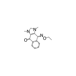 CCON=C1C2=C(C(=O)c3ccccc31)N(C)CN2C